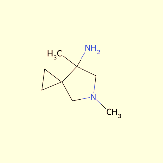 CN1CC(C)(N)C2(CC2)C1